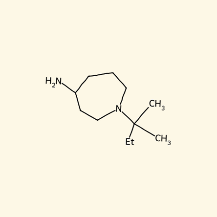 CCC(C)(C)N1CCCC(N)CC1